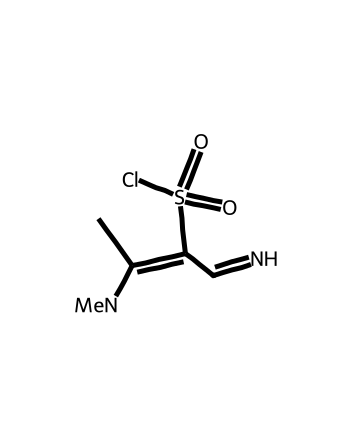 CN/C(C)=C(\C=N)S(=O)(=O)Cl